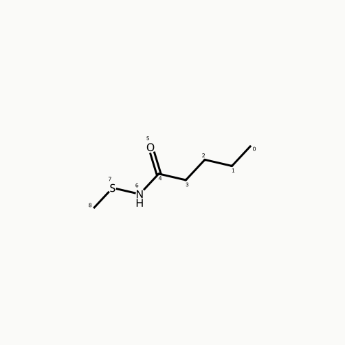 CCCCC(=O)NSC